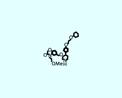 COCCCN1C(=O)COc2ccc(COC3CNCCC3c3ccc(OCCCOC4CCCCC4)cc3)cc21